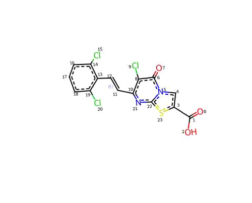 O=C(O)c1cn2c(=O)c(Cl)c(/C=C/c3c(Cl)cccc3Cl)nc2s1